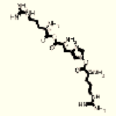 N=C(N)NCCC[C@H](N)C(=O)OC(=O)[C@@H](N)Cc1cn(OC(=O)[C@@H](N)CCCNC(=N)N)cn1